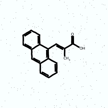 CC(=Cc1c2ccccc2cc2ccccc12)C(=O)O